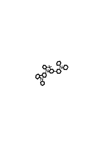 CC1(C)c2ccccc2N(c2ccc3c(c2)c2ccccc2n3-c2ccccc2)c2ccc(-c3cccc(N(c4ccccc4)c4ccccc4)c3)cc21